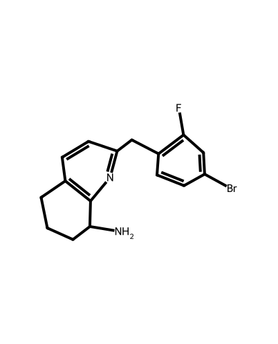 NC1CCCc2ccc(Cc3ccc(Br)cc3F)nc21